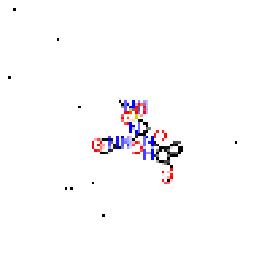 CCNS(=O)(=O)c1ccc(NC(=O)c2ccc(COC)c3ccccc23)c(C(=O)NCC2CCOCC2)n1